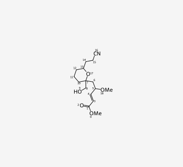 COC(=O)/C=C/C(CC1(CO)CCCC(CCC#N)O1)OC